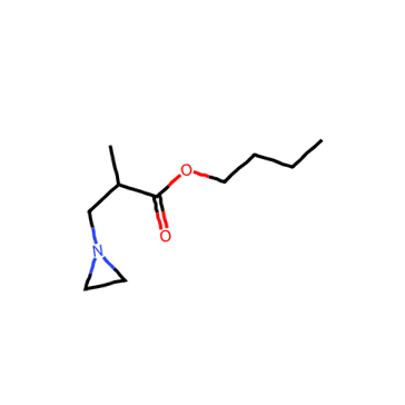 CCCCOC(=O)C(C)CN1CC1